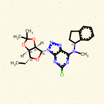 [CH2]C[C@H]1O[C@@H](n2nnc3c(N(C)[C@H]4CCc5ccccc54)nc(Cl)nc32)[C@@H]2OC(C)(C)O[C@@H]21